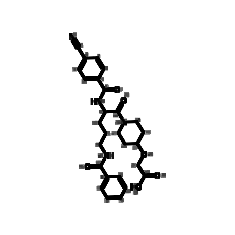 N#Cc1ccc(C(=O)NC(CCCNC(=O)c2ccccc2)C(=O)N2CCC(OCC(=O)O)CC2)cc1